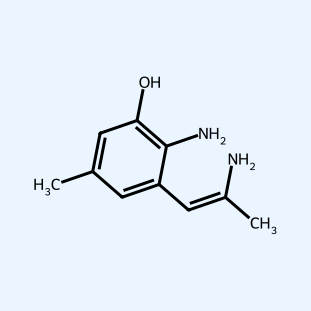 C/C(N)=C/c1cc(C)cc(O)c1N